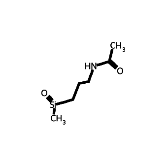 CC(=O)NCCC[Si](C)=O